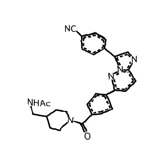 CC(=O)NCC1CCN(C(=O)c2ccc(-c3ccc4ncc(-c5ccc(C#N)cc5)n4n3)cc2)CC1